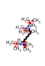 CCOC(OCC)[SiH2]CN1CC(CCCCCCC(C)C2CN(C[SiH2]C(OCC)OCC)C[Si](C)(OCC)O2)O[Si](C)(OCC)C1